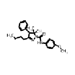 CCCCC1=NN(C(=O)Nc2ccc(OC)cc2)C(C)(C)C1c1ccccc1